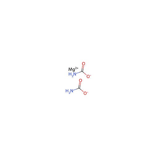 NC(=O)[O-].NC(=O)[O-].[Mg+2]